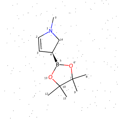 CN1C=C[C@H](B2OC(C)(C)C(C)(C)O2)C1